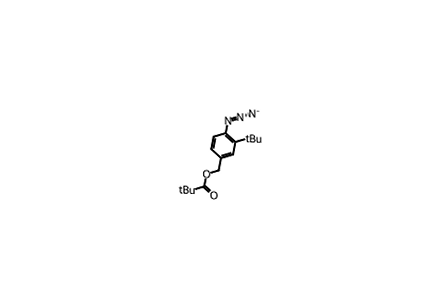 CC(C)(C)C(=O)OCc1ccc(N=[N+]=[N-])c(C(C)(C)C)c1